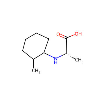 CC1CCCCC1N[C@@H](C)C(=O)O